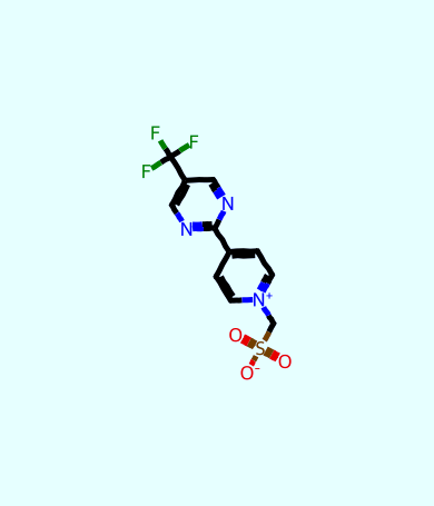 O=S(=O)([O-])C[n+]1ccc(-c2ncc(C(F)(F)F)cn2)cc1